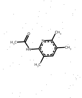 CC(=O)Nc1nc(C)c(C)cc1C